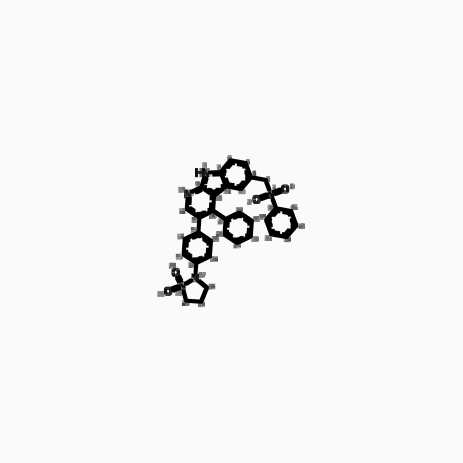 O=S(=O)(Cc1ccc2[nH]c3ncc(-c4ccc(N5CCCS5(=O)=O)cc4)c(-c4ccccc4)c3c2c1)c1ccccc1